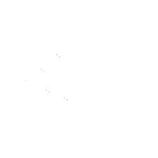 Nc1nc(N)c2cc(C=Cc3cccc4ccccc34)cnc2n1